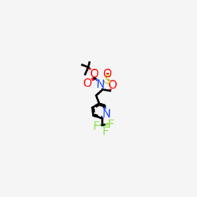 CC(C)(C)OC(=O)N1C(Cc2ccc(C(F)(F)F)nc2)COS1=O